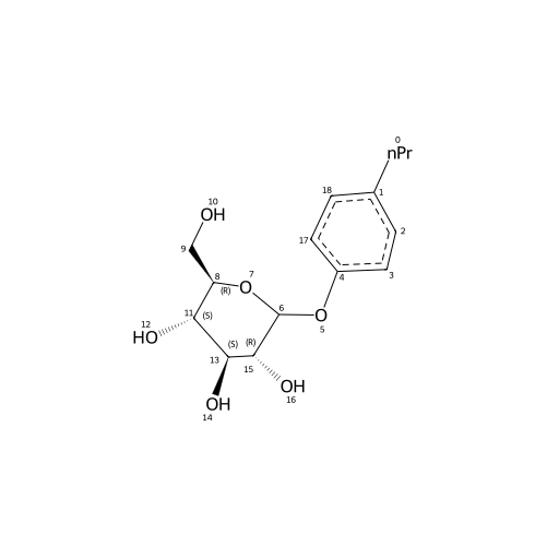 CCCc1ccc(OC2O[C@H](CO)[C@@H](O)[C@H](O)[C@H]2O)cc1